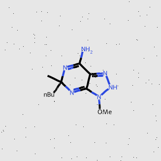 CCCCC1(C)N=C(N)C2=NNN(OC)C2=N1